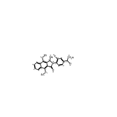 CCOc1c2c(c(OCC)c3ccccc13)C(O)N(c1ccc(C(CC)C(=O)O)cc1F)C2=O